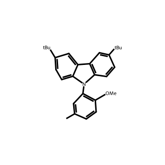 COc1ccc(C)cc1-n1c2ccc(C(C)(C)C)cc2c2cc(C(C)(C)C)ccc21